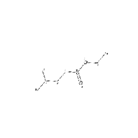 CCOC(=O)CCC(C)C